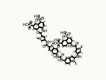 Cn1cc(NC(=O)c2cc3cc(NC(=O)Nc4ccc5c(c4)cc(Nc4cc(C(=O)Nc6ccc(S(=O)(=O)O)c7cc(S(=O)(=O)O)ccc67)n(C)c4)n5C)ccc3n2C)cc1C(=O)Nc1ccc(S(=O)(=O)O)c2cc(S(=O)(=O)O)ccc12